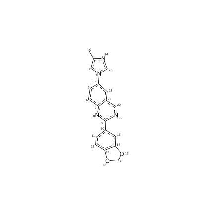 Cc1cn(-c2ccc3nc(-c4ccc5c(c4)OCO5)ncc3c2)cn1